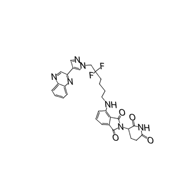 O=C1CCC(N2C(=O)c3cccc(NCCCCC(F)(F)Cn4cc(-c5cnc6ccccc6n5)cn4)c3C2=O)C(=O)N1